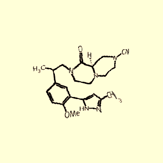 COc1ccc(C(C)CN2CCN3CCN(C#N)C[C@@H]3C2=O)cc1-c1cc(C)n[nH]1